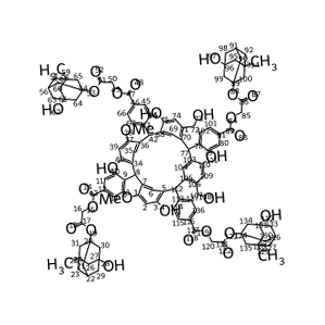 COc1cc(O)c2cc1C(c1ccc(C(=O)OCC(=O)OC34CC5CC(C)(CC(O)(C5)C3)C4)cc1)c1cc(c(OC)cc1O)C(c1ccc(C(=O)OCC(=O)OC34CC5CC(C)(CC(O)(C5)C3)C4)cc1)c1cc(c(CO)cc1O)C(c1ccc(C(=O)OCC(=O)OC34CC5CC(C)(CC(O)(C5)C3)C4)cc1)c1cc(c(CO)cc1O)C2c1ccc(C(=O)OCC(=O)OC23CC4CC(C)(CC(O)(C4)C2)C3)cc1